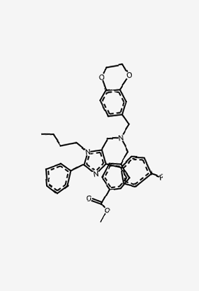 CCCCn1c(-c2ccccc2)nc(-c2ccc(F)cc2)c1CN(Cc1ccc(C(=O)OC)cc1)Cc1ccc2c(c1)OCCO2